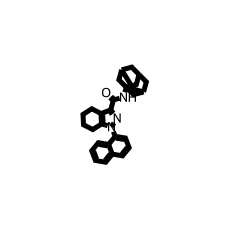 O=C(NC12CC3CC(CC(C3)C1)C2)c1nn(-c2cccc3ccccc23)c2c1CCCC2